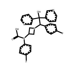 O=C(O)N(c1ccc(F)cc1)C1CN(C(c2ccc(F)cc2)C(O)(c2cccnc2)c2cccnc2)C1